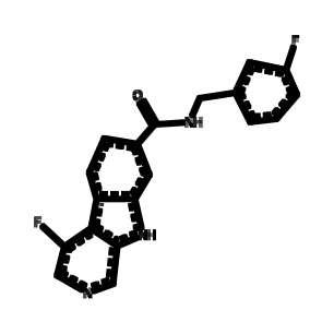 O=C(NCc1cccc(F)c1)c1ccc2c(c1)[nH]c1cncc(F)c12